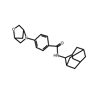 O=C(NC1C2CC3CC(C2)CC1C3)c1ccc(N2CC3CC2CO3)cc1